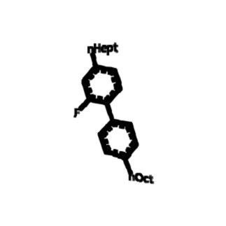 CCCCCCCCc1ccc(-c2ccc(CCCCCCC)cc2F)cc1